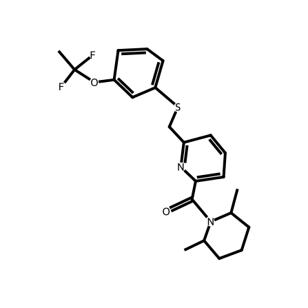 CC1CCCC(C)N1C(=O)c1cccc(CSc2cccc(OC(C)(F)F)c2)n1